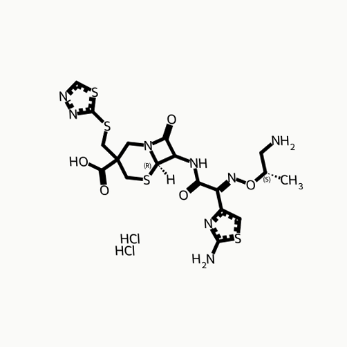 C[C@@H](CN)ON=C(C(=O)NC1C(=O)N2CC(CSc3nncs3)(C(=O)O)CS[C@H]12)c1csc(N)n1.Cl.Cl